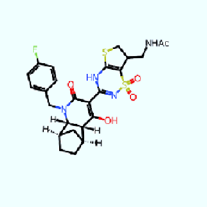 CC(=O)NCC1CSC2=C1S(=O)(=O)N=C(C1=C(O)[C@@H]3[C@H]4CC[C@H](C4)[C@@H]3N(Cc3ccc(F)cc3)C1=O)N2